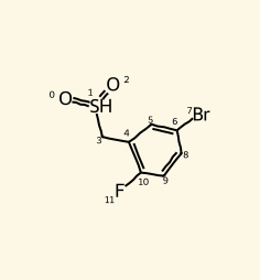 O=[SH](=O)Cc1cc(Br)ccc1F